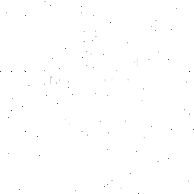 N#CC1=C(c2cccs2)OC(O)(C(F)(F)F)C1